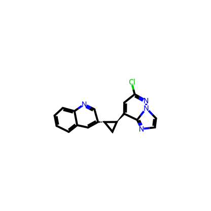 Clc1cc([C@H]2C[C@@H]2c2cnc3ccccc3c2)c2nccn2n1